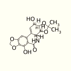 CC1(C)O[C@@H]2[C@H](O1)[C@@H](O)C=C1c3cc4c(c(O)c3C(=O)N[C@H]12)OCO4